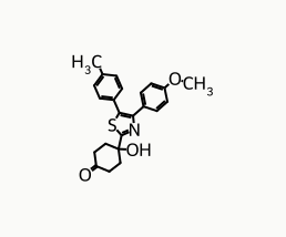 COc1ccc(-c2nc(C3(O)CCC(=O)CC3)sc2-c2ccc(C)cc2)cc1